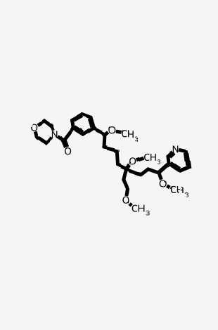 COCCC(CCCC(OC)c1cccc(C(=O)N2CCOCC2)c1)(CCC(OC)c1cccnc1)OC